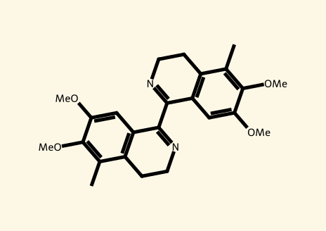 COc1cc2c(c(C)c1OC)CCN=C2C1=NCCc2c1cc(OC)c(OC)c2C